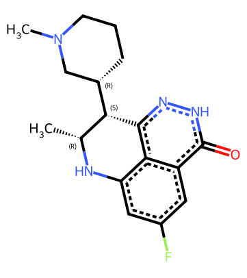 C[C@H]1Nc2cc(F)cc3c(=O)[nH]nc(c23)[C@H]1[C@H]1CCCN(C)C1